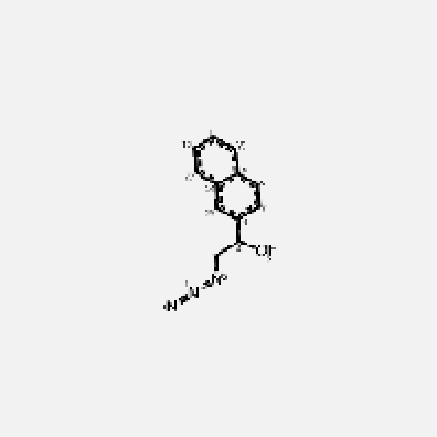 [N-]=[N+]=NCC(O)c1ccc2ccccc2c1